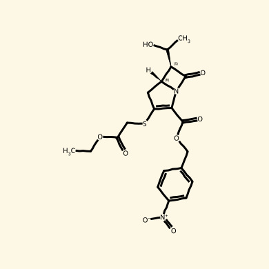 CCOC(=O)CSC1=C(C(=O)OCc2ccc([N+](=O)[O-])cc2)N2C(=O)[C@H](C(C)O)[C@H]2C1